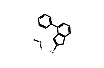 CC1=Cc2c(cccc2-c2ccccc2)[CH]1.[I][Ti][I]